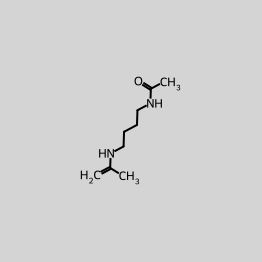 C=C(C)NCCCCNC(C)=O